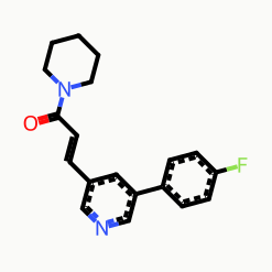 O=C(C=Cc1cncc(-c2ccc(F)cc2)c1)N1CCCCC1